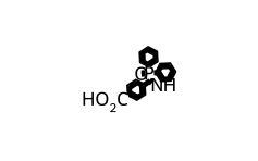 N=C(c1ccc(C(=O)O)cc1)P(=O)(c1ccccc1)c1ccccc1